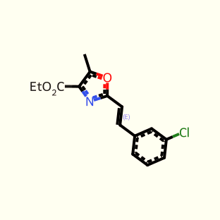 CCOC(=O)c1nc(/C=C/c2cccc(Cl)c2)oc1C